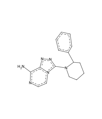 Nc1nccn2c(N3CCCCC3c3ccccc3)nnc12